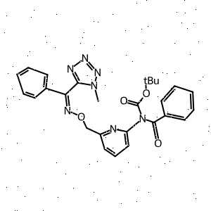 Cn1nnnc1/C(=N\OCc1cccc(N(C(=O)OC(C)(C)C)C(=O)c2ccccc2)n1)c1ccccc1